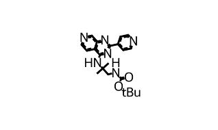 CC(C)(CNC(=O)OC(C)(C)C)Nc1nc(-c2ccncc2)nc2cnccc12